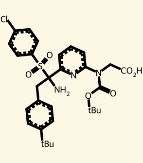 CC(C)(C)OC(=O)N(CC(=O)O)c1cccc(C(N)(Cc2ccc(C(C)(C)C)cc2)S(=O)(=O)c2ccc(Cl)cc2)n1